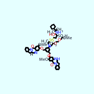 COCCOCCOCCN(CC(C)(C)SSCCC(C(O)NC(C)(C)C1CCCCC1)S(=O)(=O)O)c1cc(COc2cc3c(cc2OC)C(=O)N2c4ccccc4C[C@H]2C=N3)cc(COc2cc3c(cc2OC)C(=O)N2C(=CN3)Cc3ccccc32)c1